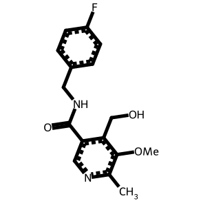 COc1c(C)ncc(C(=O)NCc2ccc(F)cc2)c1CO